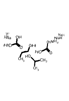 CC(C)O.CCCO.N.O=C(O)O.O=C(O)O.[H+].[NaH].[NaH].[NaH]